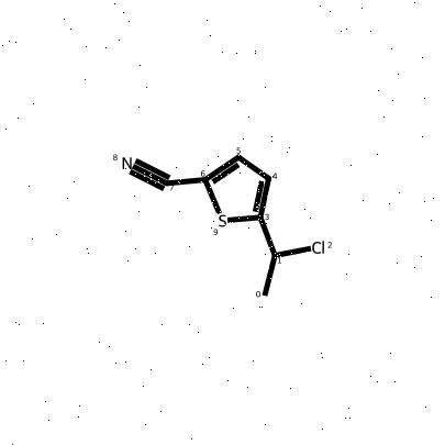 CC(Cl)c1ccc(C#N)s1